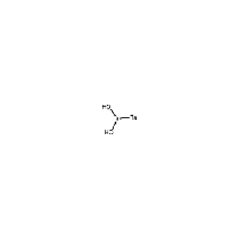 O[B](O)[Ta]